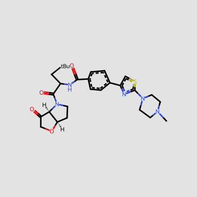 CN1CCN(c2nc(-c3ccc(C(=O)NC(CC(C)(C)C)C(=O)N4CC[C@H]5OCC(=O)[C@H]54)cc3)cs2)CC1